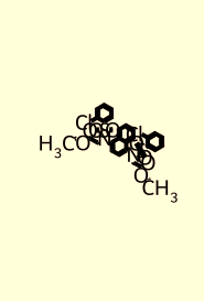 CCOC(=O)CN(c1ccc(N(CC(=O)OCC)S(=O)(=O)c2ccccc2Cl)c2ccccc12)S(=O)(=O)c1ccccc1Cl